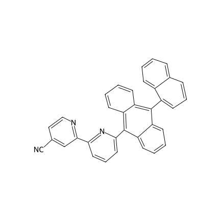 N#Cc1ccnc(-c2cccc(-c3c4ccccc4c(-c4cccc5ccccc45)c4ccccc34)n2)c1